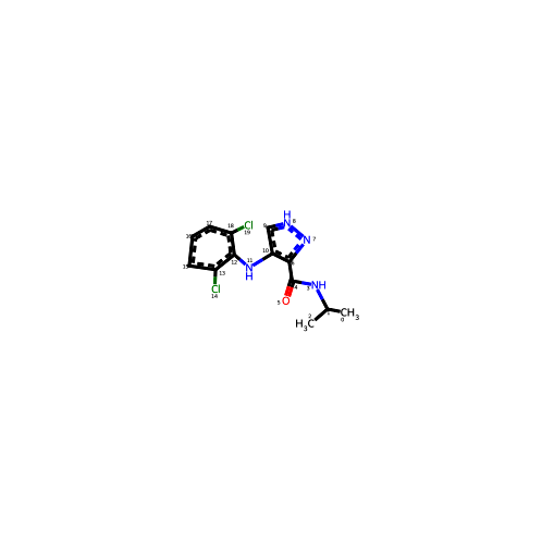 CC(C)NC(=O)c1n[nH]cc1Nc1c(Cl)cccc1Cl